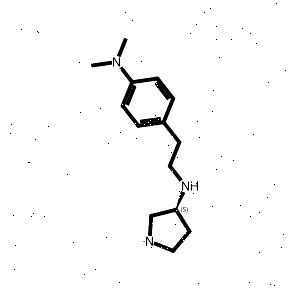 CN(C)c1ccc(CCN[C@H]2CC[N]C2)cc1